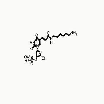 CC[C@H]1O[C@@H](n2cc(/C=C/C(=O)NCCCCCCN)c(=O)[nH]c2=O)C[C@@H]1OP(=O)(S)OC